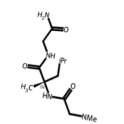 CNCC(=O)N[C@@](C)(CC(C)C)C(=O)NCC(N)=O